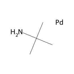 CC(C)(C)N.[Pd]